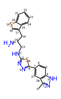 Cc1n[nH]c2ccc(-c3nnc(NC[C@H](N)Cc4csc5ccccc45)s3)cc12